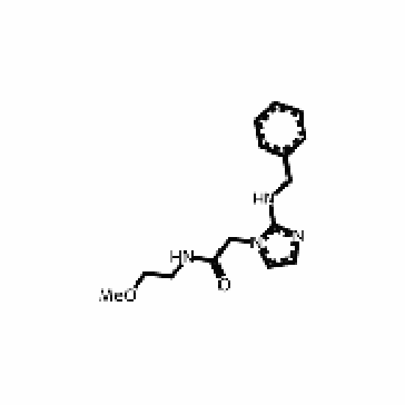 COCCNC(=O)Cn1ccnc1NCc1ccccc1